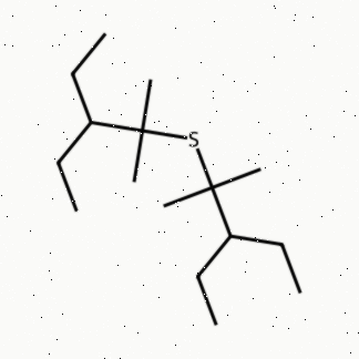 CCC(CC)C(C)(C)SC(C)(C)C(CC)CC